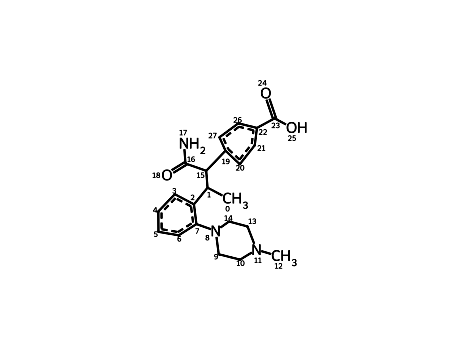 CC(c1ccccc1N1CCN(C)CC1)C(C(N)=O)c1ccc(C(=O)O)cc1